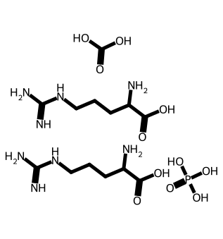 N=C(N)NCCCC(N)C(=O)O.N=C(N)NCCCC(N)C(=O)O.O=C(O)O.O=P(O)(O)O